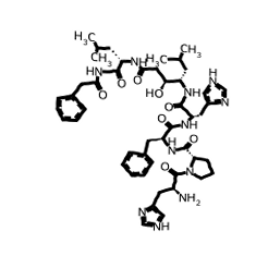 CC(C)C[C@H](NC(=O)C[C@H](O)[C@H](CC(C)C)NC(=O)[C@H](Cc1c[nH]cn1)NC(=O)[C@H](Cc1ccccc1)NC(=O)[C@@H]1CCCN1C(=O)[C@@H](N)Cc1c[nH]cn1)C(=O)NC(=O)Cc1ccccc1